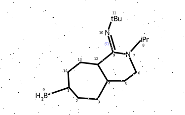 BC1CCC2CCN(C(C)C)/C(=N\C(C)(C)C)C2CC1